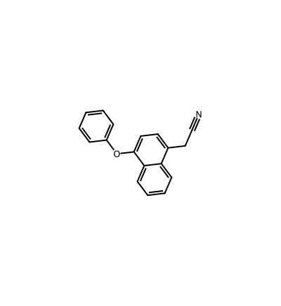 N#CCc1ccc(Oc2ccccc2)c2ccccc12